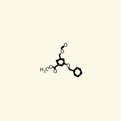 COC(=O)c1cc(COC=O)cc(OCc2ccccc2)c1